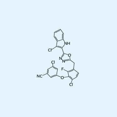 N#Cc1cc(Cl)cc(Oc2c(Cl)ccc(Cc3nnc(-c4[nH]c5ccccc5c4Cl)o3)c2F)c1